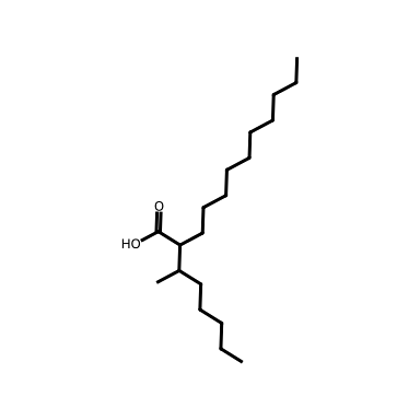 CCCCCCCCCCC(C(=O)O)C(C)CCCCC